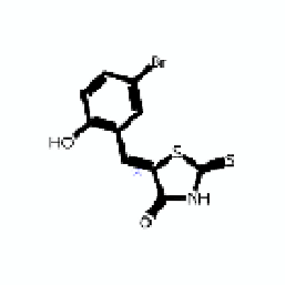 O=C1NC(=S)S/C1=C\c1cc(Br)ccc1O